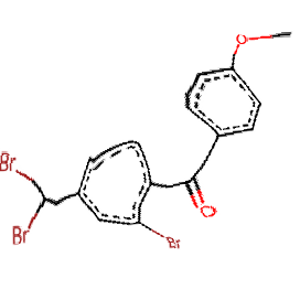 COc1ccc(C(=O)c2ccc(C(Br)Br)cc2Br)cc1